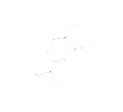 O=NC(=O)c1ccc(O)c(O)c1